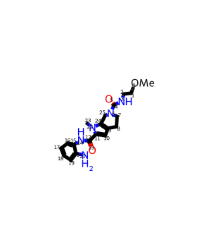 COCCNC(=O)N1CCc2cc(C(=O)Nc3ccccc3N)n(C)c2C1